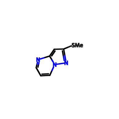 CSc1cc2ncccn2n1